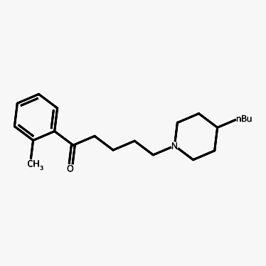 CCCCC1CCN(CCCCC(=O)c2ccccc2C)CC1